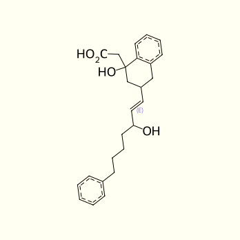 O=C(O)CC1(O)CC(/C=C/C(O)CCCCc2ccccc2)Cc2ccccc21